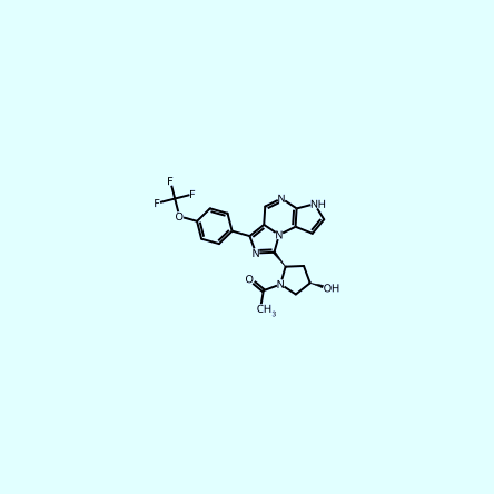 CC(=O)N1C[C@H](O)C[C@@H]1c1nc(-c2ccc(OC(F)(F)F)cc2)c2cnc3[nH]ccc3n12